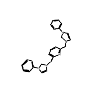 C1=CN(c2ccccc2)CN1Cc1cccc(CN2C=CN(c3ccccc3)C2)n1